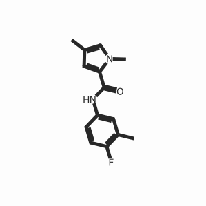 Cc1cc(C(=O)Nc2ccc(F)c(C)c2)n(C)c1